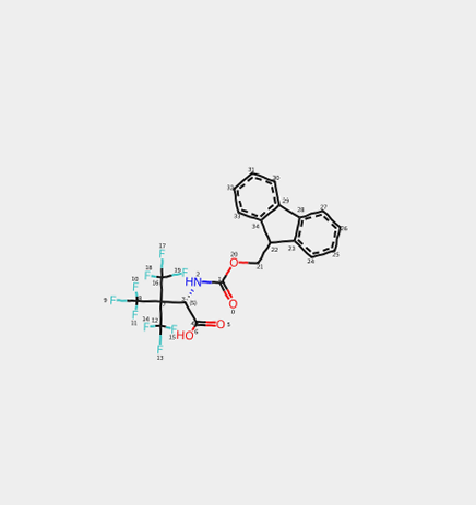 O=C(N[C@H](C(=O)O)C(C(F)(F)F)(C(F)(F)F)C(F)(F)F)OCC1c2ccccc2-c2ccccc21